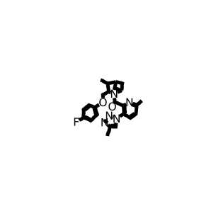 Cc1cn(-c2ccc(C)nc2C(=O)N2C3CC(C3)C(C)C2COc2ccc(F)cc2)nn1